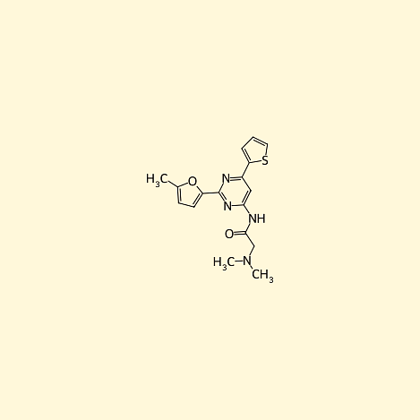 Cc1ccc(-c2nc(NC(=O)CN(C)C)cc(-c3cccs3)n2)o1